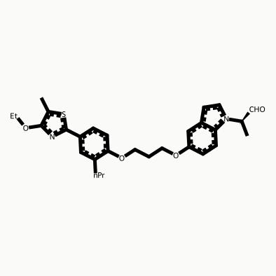 CCCc1cc(-c2nc(OCC)c(C)s2)ccc1OCCCOc1ccc2c(ccn2[C@H](C)C=O)c1